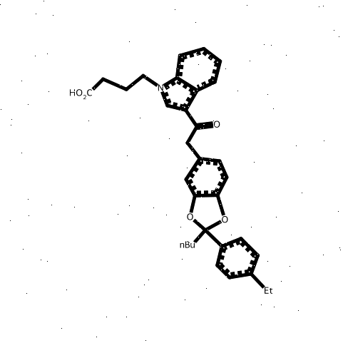 CCCCC1(c2ccc(CC)cc2)Oc2ccc(CC(=O)c3cn(CCCC(=O)O)c4ccccc34)cc2O1